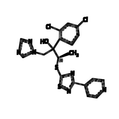 C[C@@H](Sc1nc(-c2ccncc2)ns1)C(O)(Cn1cncn1)c1ccc(Cl)cc1Cl